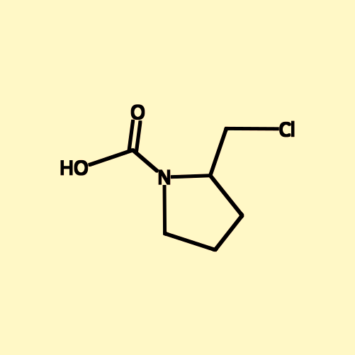 O=C(O)N1CCCC1CCl